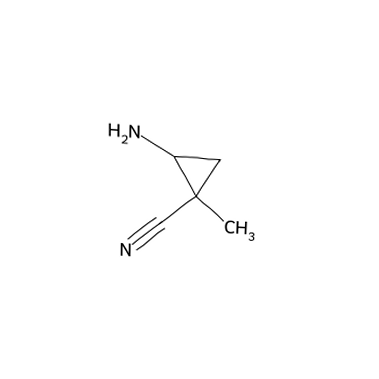 CC1(C#N)CC1N